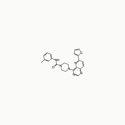 Cc1cccc(NC(=O)N2CCN(c3ncnc4ccc(-c5ccco5)nc34)CC2)c1